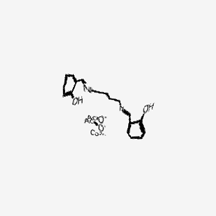 CC(=O)[O-].CC(=O)[O-].Oc1ccccc1C=NCCCN=Cc1ccccc1O.[Co+2]